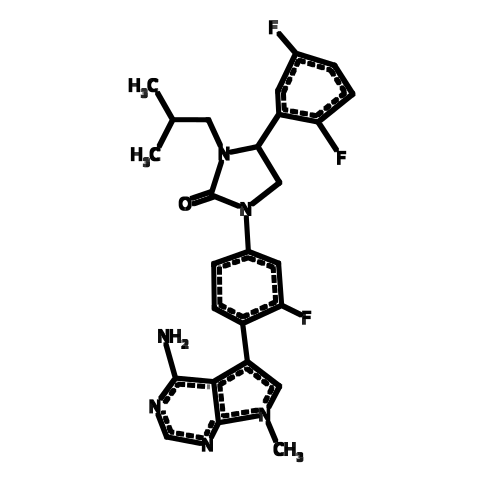 CC(C)CN1C(=O)N(c2ccc(-c3cn(C)c4ncnc(N)c34)c(F)c2)CC1c1cc(F)ccc1F